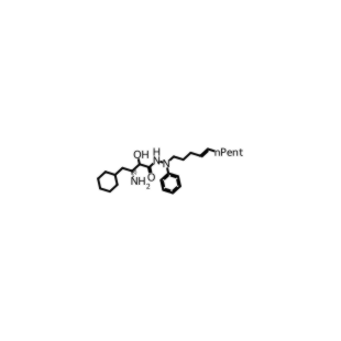 CCCCCC=CCCCN(NC(=O)C(O)[C@H](N)CC1CCCCC1)c1ccccc1